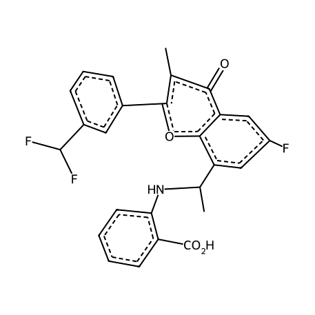 Cc1c(-c2cccc(C(F)F)c2)oc2c(C(C)Nc3ccccc3C(=O)O)cc(F)cc2c1=O